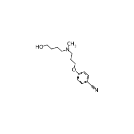 CN(CCCCO)CCCOc1ccc(C#N)cc1